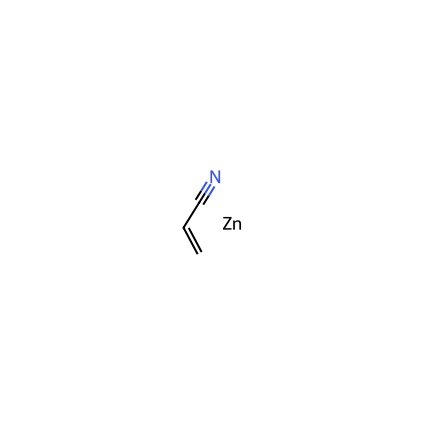 C=CC#N.[Zn]